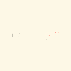 CCCCCCCCCCC=CC1CCCC(=O)OC1=O